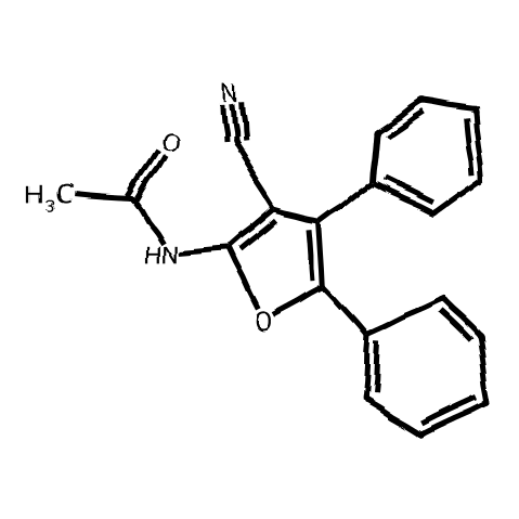 CC(=O)Nc1oc(-c2ccccc2)c(-c2ccccc2)c1C#N